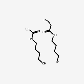 CC(C)(C)OC(=O)NCCCCBr.O=C(NCCCCO)C(F)(F)F